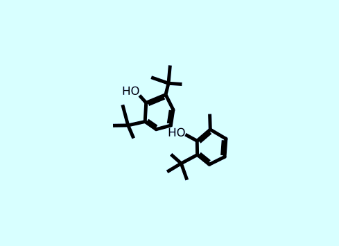 CC(C)(C)c1cccc(C(C)(C)C)c1O.Cc1cccc(C(C)(C)C)c1O